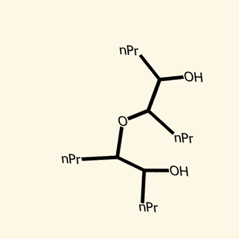 CCCC(O)C(CCC)OC(CCC)C(O)CCC